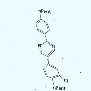 CCCCCc1ccc(-c2ncc(-c3ccc(CCCCC)c(Cl)c3)cn2)cc1